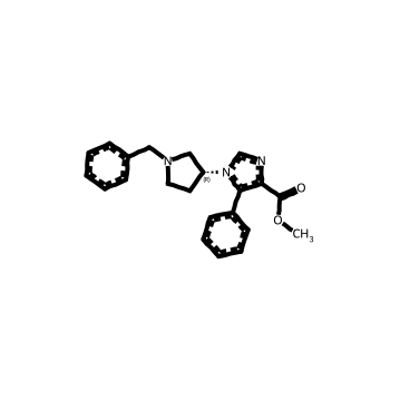 COC(=O)c1ncn([C@@H]2CCN(Cc3ccccc3)C2)c1-c1ccccc1